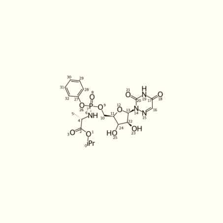 CC(C)OC(=O)[C@H](C)N[P@](=O)(OC[C@H]1O[C@@H](n2ncc(=O)[nH]c2=O)[C@@H](O)C1O)Oc1ccccc1